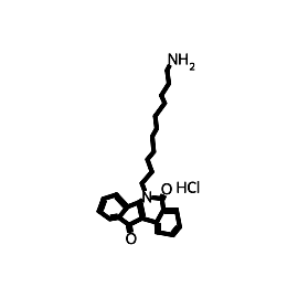 Cl.NCCCCCCCCCCCn1c2c(c3ccccc3c1=O)C(=O)c1ccccc1-2